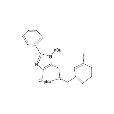 CCCCN(Cc1cccc(F)c1)Cc1c(C(F)(F)F)nc(-c2ccccc2)n1CCCC